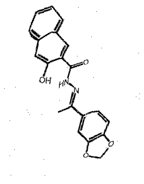 C/C(=N\NC(=O)c1cc2ccccc2cc1O)c1ccc2c(c1)OCO2